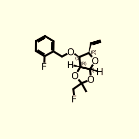 C=C[C@H]1O[C@@H]2OC(C)(CF)O[C@@H]2[C@H]1OCc1ccccc1F